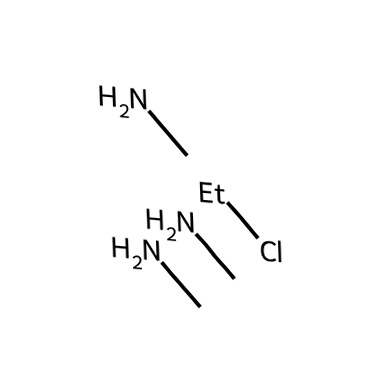 CCCl.CN.CN.CN